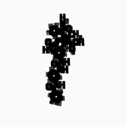 Cc1c(C(=O)O)c(C)n(C(C(N)=O)N2CCCC2)c1C=C1C(=O)Nc2cc(NC(=O)Nc3cccc(NC(=O)c4ccccc4)c3)ccc21